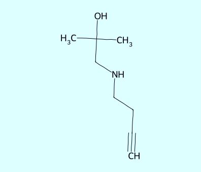 C#CCCNCC(C)(C)O